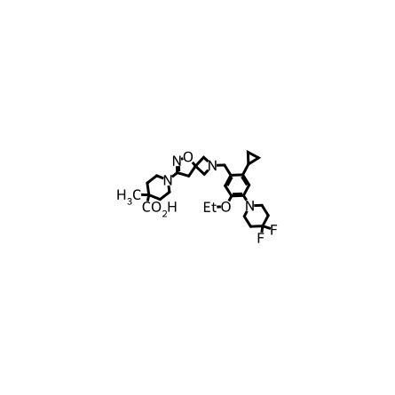 CCOc1cc(CN2CC3(CC(N4CCC(C)(C(=O)O)CC4)=NO3)C2)c(C2CC2)cc1N1CCC(F)(F)CC1